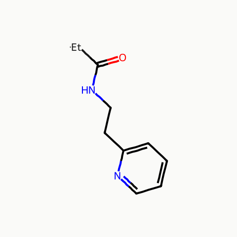 C[CH]C(=O)NCCc1ccccn1